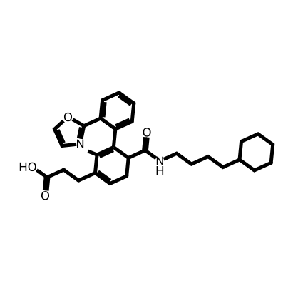 CC1=C(c2ccccc2-c2ncco2)C(C(=O)NCCCCC2CCCCC2)CC=C1CCC(=O)O